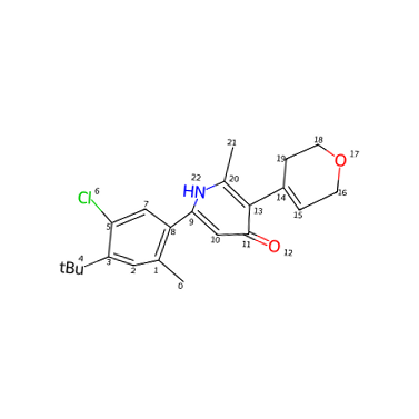 Cc1cc(C(C)(C)C)c(Cl)cc1-c1cc(=O)c(C2=CCOCC2)c(C)[nH]1